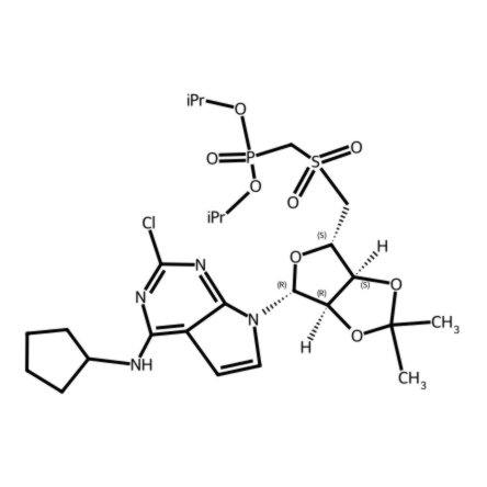 CC(C)OP(=O)(CS(=O)(=O)C[C@H]1O[C@@H](n2ccc3c(NC4CCCC4)nc(Cl)nc32)[C@@H]2OC(C)(C)O[C@@H]21)OC(C)C